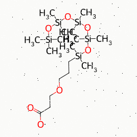 C[Si](C)(C)O[Si](C)(C)O[Si](C)(C)O[Si](C)(C)O[Si](C)(C)CCCOCCC([O])=O